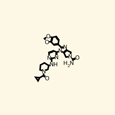 NC(=O)N1Cc2nc(-c3ccc4c(c3)OCO4)n(-c3ccnc(NC4CCCN(C(=O)C5CC5)C4)n3)c2C1